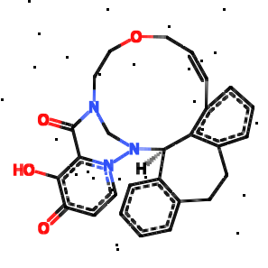 O=C1c2c(O)c(=O)ccn2N2CN1CCOC/C=C\c1cccc3c1[C@H]2c1ccccc1CC3